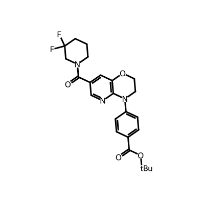 CC(C)(C)OC(=O)c1ccc(N2CCOc3cc(C(=O)N4CCCC(F)(F)C4)cnc32)cc1